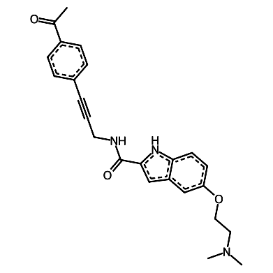 CC(=O)c1ccc(C#CCNC(=O)c2cc3cc(OCCN(C)C)ccc3[nH]2)cc1